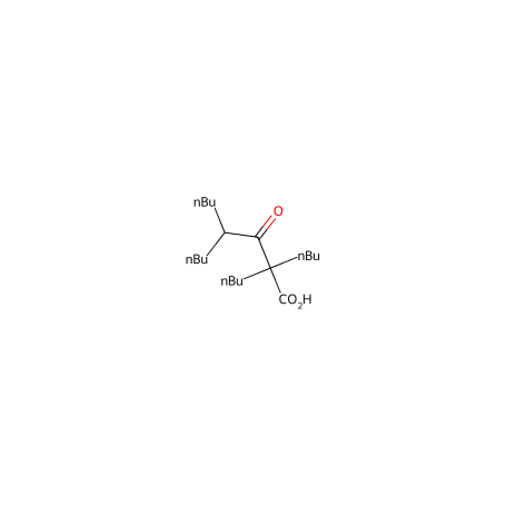 CCCCC(CCCC)C(=O)C(CCCC)(CCCC)C(=O)O